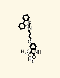 CC1(C)C(=O)Nc2ccc(OCCCC=NOSc3ccccc3C3CCCCC3)cc21